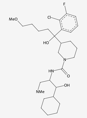 CNCC(NC(=O)N1CCCC(C(O)(CCCCOC)c2cccc(F)c2Cl)C1)C(O)C1CCCCC1